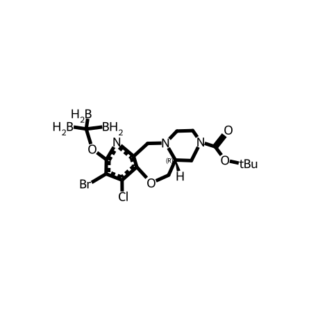 BC(B)(B)Oc1nc2c(c(Cl)c1Br)OC[C@H]1CN(C(=O)OC(C)(C)C)CCN1C2